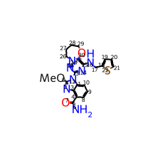 COc1nc2c(C(N)=O)cccc2n1-c1nc(NCc2cccs2)c2[n+](n1)CCCCO2